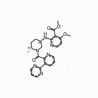 COC(=O)c1c(OC)ccnc1N[C@@H]1CC[C@@H](C)N(C(=O)c2ncccc2-c2ncccn2)C1